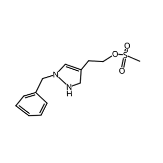 CS(=O)(=O)OCCC1=CN(Cc2ccccc2)NC1